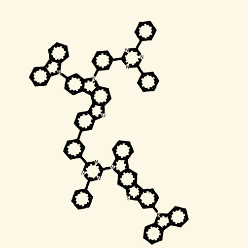 c1ccc(-c2nc(-c3ccccc3)nc(-c3cccc(-n4c5cc(-n6c7ccccc7c7ccccc76)ccc5c5c6c(ccc54)oc4cc(-c5cccc(-c7nc(-c8ccccc8)nc(-n8c9ccccc9c9cc%10c(cc98)sc8cc(-n9c%11ccccc%11c%11ccccc%119)ccc8%10)n7)c5)ccc46)c3)n2)cc1